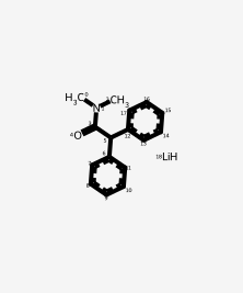 CN(C)C(=O)C(c1ccccc1)c1ccccc1.[LiH]